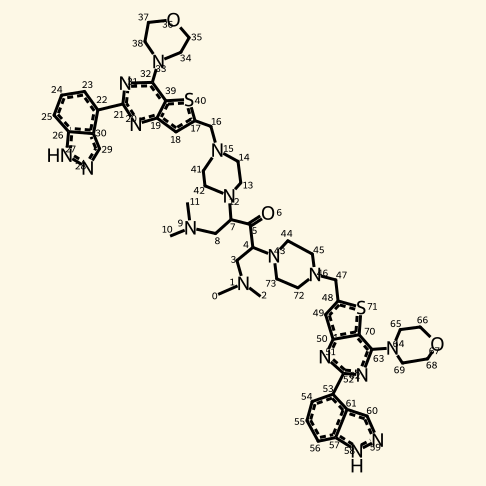 CN(C)CC(C(=O)C(CN(C)C)N1CCN(Cc2cc3nc(-c4cccc5[nH]ncc45)nc(N4CCOCC4)c3s2)CC1)N1CCN(Cc2cc3nc(-c4cccc5[nH]ncc45)nc(N4CCOCC4)c3s2)CC1